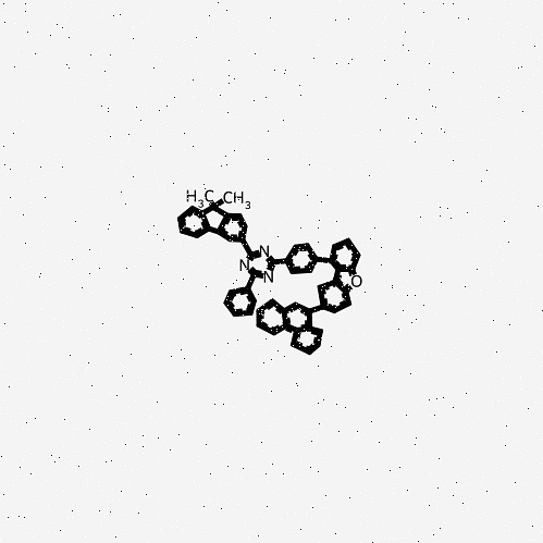 CC1(C)c2ccccc2-c2cc(-c3nc(-c4ccccc4)nc(-c4ccc(-c5cccc6oc7ccc(-c8cc9ccccc9c9ccccc89)cc7c56)cc4)n3)ccc21